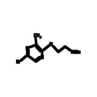 CNCCOc1ncc(Br)nc1C